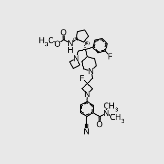 COC(=O)N[C@H]1CCC[C@@H]1C(CN1CCC1)(c1cccc(F)c1)C1CCN(CC2(F)CN(c3ccc(C#N)c(C(=O)N(C)C)c3)C2)CC1